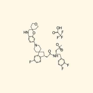 CS(=O)(=O)C[C@@H](Cc1ccc(F)c(F)c1)NC(=O)C[C@@H]1CC2(CCN(c3ccc4c(c3)OC3(CCOCC3)CN4)CC2)c2cc(F)ccc21.O=C(O)C(F)(F)F